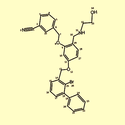 N#Cc1cccc(COc2cc(OCc3cccc(-c4ccccc4)c3Br)ccc2CNCCO)c1